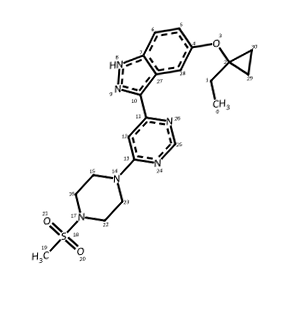 CCC1(Oc2ccc3[nH]nc(-c4cc(N5CCN(S(C)(=O)=O)CC5)ncn4)c3c2)CC1